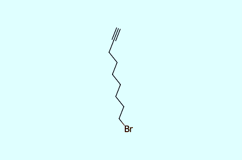 C#CCCCCCCCBr